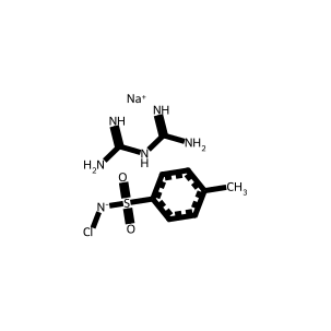 Cc1ccc(S(=O)(=O)[N-]Cl)cc1.N=C(N)NC(=N)N.[Na+]